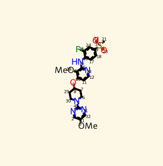 COc1cnc(N2CCC(Oc3ccnc(Nc4ccc(S(C)(=O)=O)cc4F)c3OC)CC2)nc1